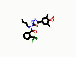 CCCCN(C(=O)c1ccccc1C(F)(F)F)c1nnc(-c2cc(C)c(OC)c(C)c2)s1